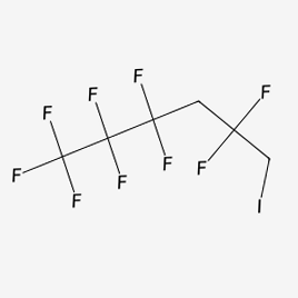 FC(F)(CI)CC(F)(F)C(F)(F)C(F)(F)F